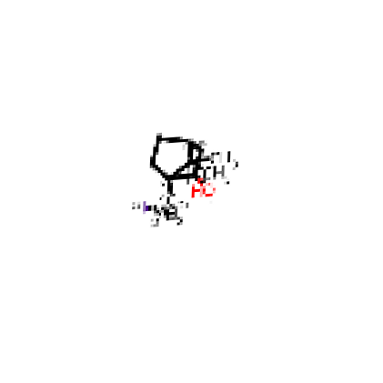 CC1(C)C2CCC1(C)C(O)C2.[Mg+2][I]